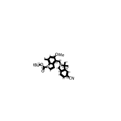 COc1cc(C)c2c(ccn2C(=O)OC(C)(C)C)c1CN1Cc2ccc(C#N)cc2C1(C)C